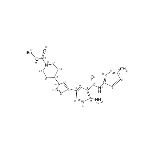 Cc1ccc(NC(=O)c2cc(-c3cnn(C4CCN(C(=O)OC(C)(C)C)CC4)c3)cnc2N)cc1